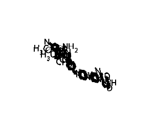 COc1cc(OC2(c3nc(N4CCC(CN5CCN(c6ccn7c(N8CCC(=O)NC8=O)cnc7c6)CC5)CC4)cnc3C(N)=O)C(C)(C)CC2(C)C)ccc1C#N